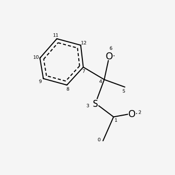 CC([O])SC(C)([O])c1ccccc1